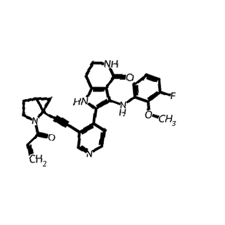 C=CC(=O)N1CCC2CC21C#Cc1cnccc1-c1[nH]c2c(c1Nc1cccc(F)c1OC)C(=O)NCC2